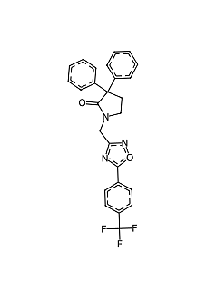 O=C1N(Cc2noc(-c3ccc(C(F)(F)F)cc3)n2)CCC1(c1ccccc1)c1ccccc1